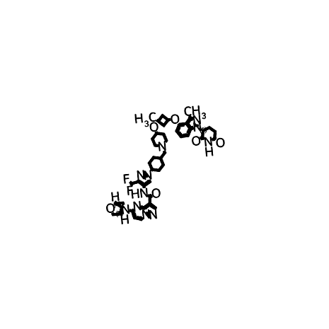 Cc1nn([C@H]2CCC(=O)NC2=O)c2cccc(OC3CC(C)(OC4CCN(CC5CCC(n6cc(NC(=O)c7cnn8ccc(N9C[C@H]%10C[C@@H]9CO%10)nc78)c(C(F)F)n6)CC5)CC4)C3)c12